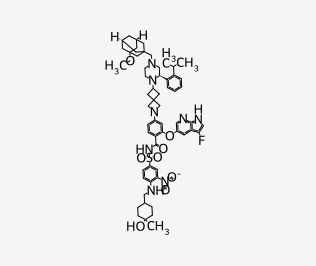 COC12C[C@@H]3C[C@@H](CC(CN4CCN(C5CC6(C5)CN(c5ccc(C(=O)NS(=O)(=O)c7ccc(NCC8CCC(C)(O)CC8)c([N+](=O)[O-])c7)c(Oc7cnc8[nH]cc(F)c8c7)c5)C6)[C@H](c5ccccc5C(C)C)C4)(C3)C1)C2